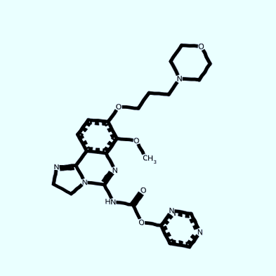 COc1c(OCCCN2CCOCC2)ccc2c1N=C(NC(=O)Oc1ccncn1)N1CCN=C21